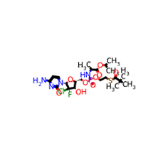 CC(C)OC(=O)C(C)NP(=O)(OCCSC(=O)C(C)(C)C)OC[C@H]1O[C@@H](n2ccc(N)nc2=O)[C@](F)(Cl)[C@@H]1O